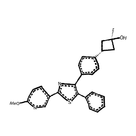 COc1ccc(-c2nc(-c3ccc([C@H]4C[C@](C)(O)C4)cc3)c(-c3ccccc3)s2)cn1